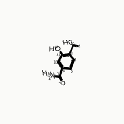 CC(O)c1ccc(C(N)=O)cc1O